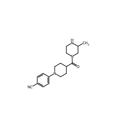 CC1CN(C(=O)C2CCN(c3ccc(C#N)cc3)CC2)CCN1